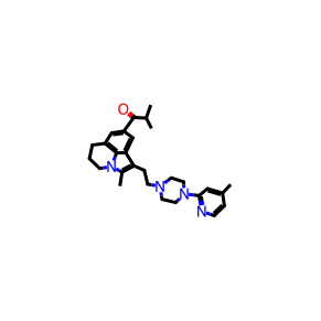 Cc1ccnc(N2CCN(CCc3c(C)n4c5c(cc(C(=O)C(C)C)cc35)CCC4)CC2)c1